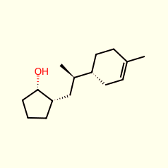 CC1=CC[C@H]([C@H](C)C[C@@H]2CCC[C@@H]2O)CC1